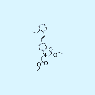 CCOC(=O)CN(CC(=O)OCC)c1ccc(/C=C/c2ccccc2CC)cc1